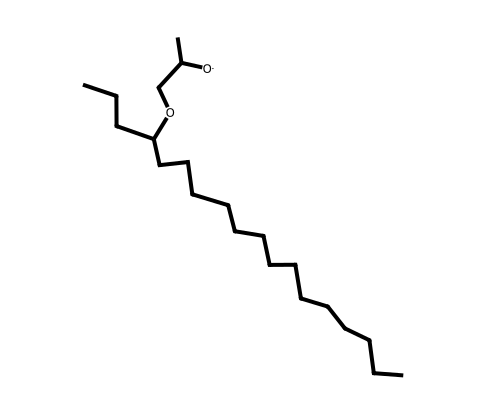 CCCCCCCCCCCCCCC(CCC)OCC(C)[O]